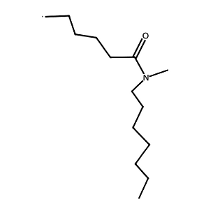 [CH2]CCCCC(=O)N(C)CCCCCCC